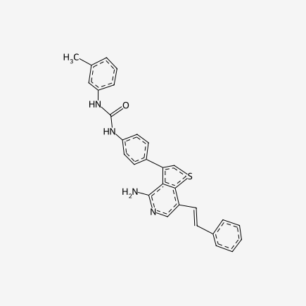 Cc1cccc(NC(=O)Nc2ccc(-c3csc4c(C=Cc5ccccc5)cnc(N)c34)cc2)c1